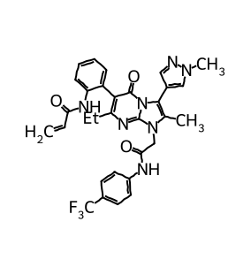 C=CC(=O)Nc1ccccc1-c1c(CC)nc2n(CC(=O)Nc3ccc(C(F)(F)F)cc3)c(C)c(-c3cnn(C)c3)n2c1=O